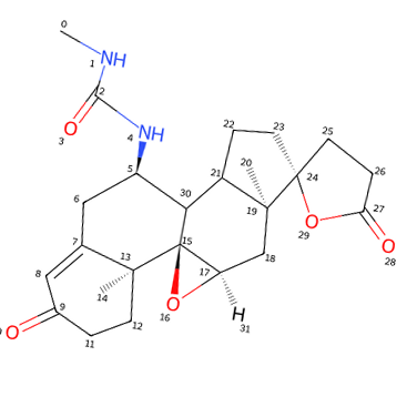 CNC(=O)N[C@@H]1CC2=CC(=O)CC[C@]2(C)[C@@]23O[C@@H]2C[C@@]2(C)C(CC[C@@]24CCC(=O)O4)C13